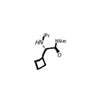 CNC(=O)[C@@H](NC(C)C)C1CCC1